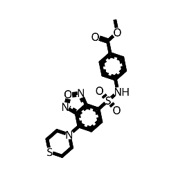 COC(=O)c1ccc(NS(=O)(=O)c2ccc(N3CCSCC3)c3nonc23)cc1